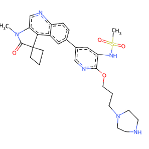 CN1C(=O)C2(CCC2)c2c1cnc1ccc(-c3cnc(OCCCN4CCNCC4)c(NS(C)(=O)=O)c3)cc21